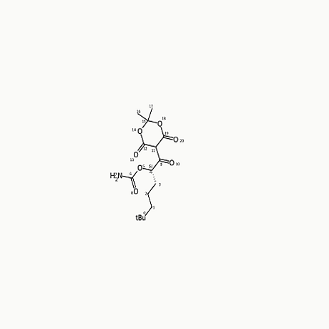 CC(C)(C)CCC[C@H](OC(N)=O)C(=O)C1C(=O)OC(C)(C)OC1=O